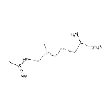 CC(=N)NC/C(C)=C/CCC(N)C(=O)O